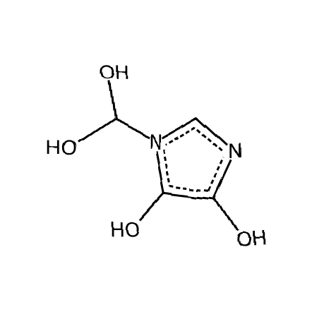 Oc1ncn(C(O)O)c1O